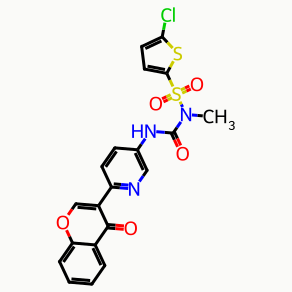 CN(C(=O)Nc1ccc(-c2coc3ccccc3c2=O)nc1)S(=O)(=O)c1ccc(Cl)s1